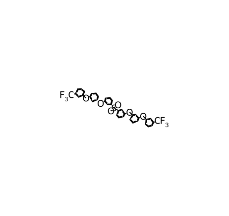 O=S(=O)(c1cccc(Oc2cccc(Oc3cccc(C(F)(F)F)c3)c2)c1)c1cccc(Oc2cccc(Oc3cccc(C(F)(F)F)c3)c2)c1